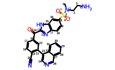 CN(CCN)S(=O)(=O)c1ccc2nc(C(=O)c3ccc(C#N)c(-c4cncc5ccccc45)c3)[nH]c2c1